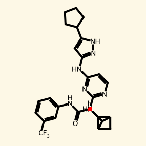 O=C(Nc1cccc(C(F)(F)F)c1)NC1C2CC1C2Nc1nccc(Nc2cc(C3CCCC3)[nH]n2)n1